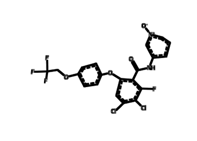 O=C(Nc1ccc[n+]([O-])c1)c1c(Oc2ccc(OCC(F)(F)F)cc2)cc(Cl)c(Cl)c1F